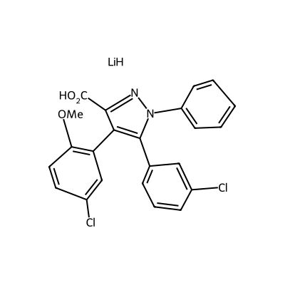 COc1ccc(Cl)cc1-c1c(C(=O)O)nn(-c2ccccc2)c1-c1cccc(Cl)c1.[LiH]